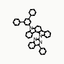 c1ccc(-c2cc(-c3ccccc3)cc(-n3c4ccccc4c4c3ccc3c5ccccc5n(-c5nc(-c6ccccc6)c6ccccc6n5)c34)c2)cc1